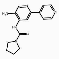 Nc1cnc(-c2ccncc2)cc1NC(=O)N1CCCC1